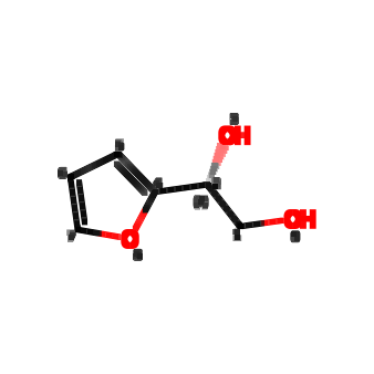 OC[C@@H](O)c1ccco1